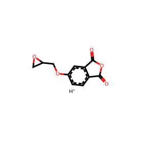 O=C1OC(=O)c2cc(OCC3CO3)ccc21.[H+]